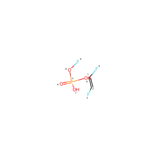 FC=CF.O=P(O)(O)OF